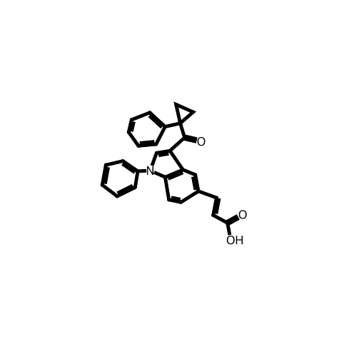 O=C(O)C=Cc1ccc2c(c1)c(C(=O)C1(c3ccccc3)CC1)cn2-c1ccccc1